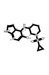 O=S(=O)(C1CC1)N1CCCC(NC2C(Cl)=CN=C3NC=CC32)C1